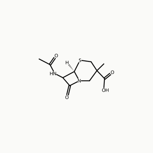 CC(=O)NC1C(=O)N2CC(C)(C(=O)O)CS[C@H]12